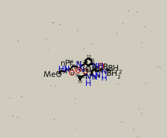 BC(B)(B)NC(=O)c1nnc(NC(=O)C2CC2)cc1Nc1cccc(-c2noc(C(CCC)C(=O)NCCOC)n2)c1OC